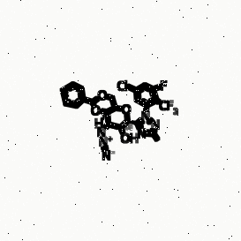 Cc1nc([C@@H]2OC3COC(c4ccccc4)O[C@@H]3C(N=[N+]=[N-])C2O)n(-c2cc(Cl)cc(F)c2C(F)(F)F)n1